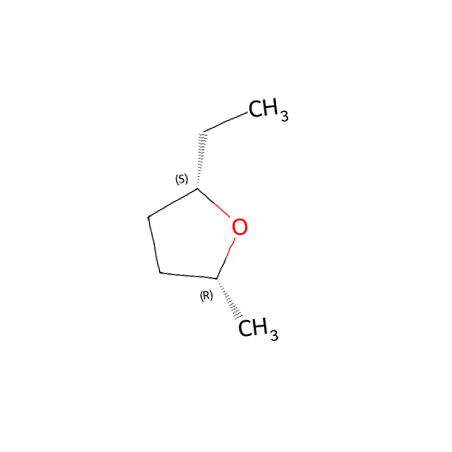 CC[C@H]1CC[C@@H](C)O1